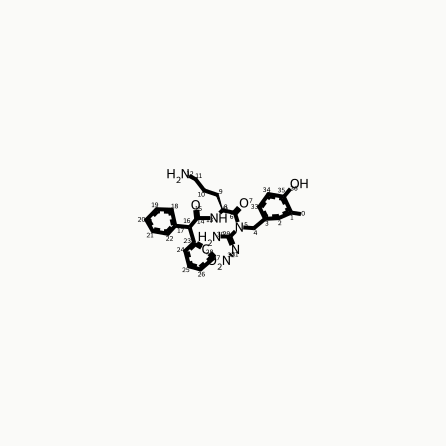 Cc1cc(CN(C(=O)[C@H](CCCN)NC(=O)C(c2ccccc2)c2ccccc2)C(N)=N[N+](=O)[O-])ccc1O